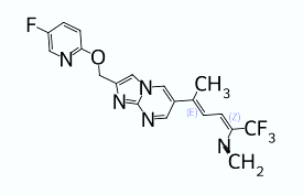 C=N/C(=C\C=C(/C)c1cnc2nc(COc3ccc(F)cn3)cn2c1)C(F)(F)F